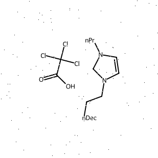 CCCCCCCCCCCCN1C=CN(CCC)C1.O=C(O)C(Cl)(Cl)Cl